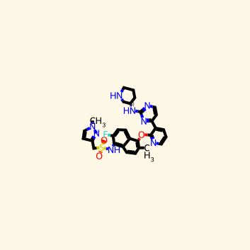 Cc1ccc2c(NS(=O)(=O)Cc3ccn(C)n3)c(F)ccc2c1Oc1ncccc1-c1ccnc(N[C@H]2CCCNC2)n1